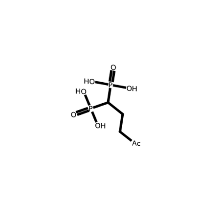 CC(=O)CCC(P(=O)(O)O)P(=O)(O)O